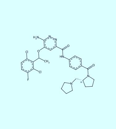 CC(Oc1cc(C(=O)Nc2ccc(C(=O)N3CCC[C@@H]3CN3CCCC3)cc2)nnc1N)c1c(Cl)ccc(F)c1Cl